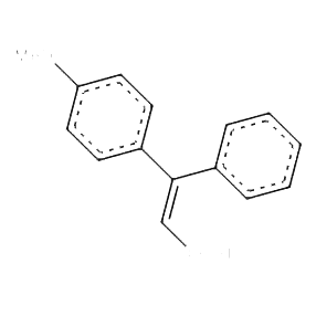 COc1ccc(C(=CC(=O)O)c2ccccc2)cc1